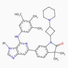 Cc1cc(Nc2nc(-c3ccc4c(c3)N(C3CC(N5CCCCC5)C3)C(=O)C4(C)C)cc3ncn(C(C)C)c23)cc(C(=O)O)c1C